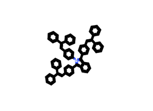 C(=C(c1ccccc1)c1ccccc1)c1ccc(-c2c3ccccc3c(-c3ccc(C=C(c4ccccc4)c4ccccc4)cc3)n2-c2ccc(C=C(c3ccccc3)c3ccccc3)cc2)cc1